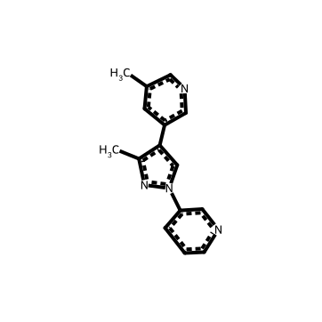 Cc1cncc(-c2cn(-c3cccnc3)nc2C)c1